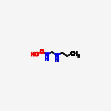 CCCNCNOO